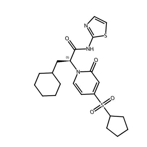 O=C(Nc1nccs1)[C@H](CC1CCCCC1)n1ccc(S(=O)(=O)C2CCCC2)cc1=O